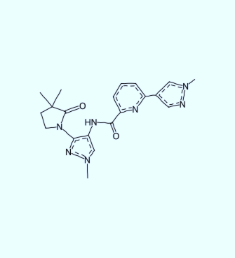 Cn1cc(-c2cccc(C(=O)Nc3cn(C)nc3N3CCC(C)(C)C3=O)n2)cn1